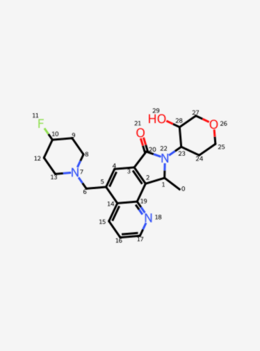 CC1c2c(cc(CN3CCC(F)CC3)c3cccnc23)C(=O)N1C1CCOCC1O